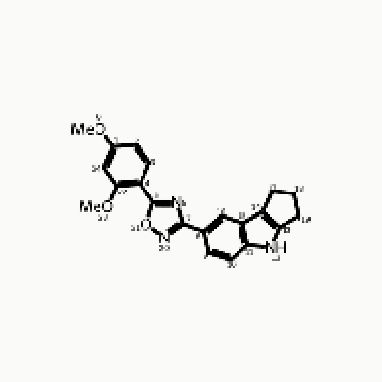 COc1ccc(-c2nc(-c3ccc4[nH]c5c(c4c3)CC[CH]5)no2)c(OC)c1